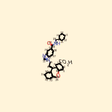 O=C(O)c1ccc2c(c1)C(=CCn1cnc3cc(C(=O)NCc4ccccc4)ccc31)c1ccccc1CO2